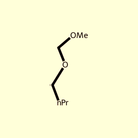 CCC[CH]OCOC